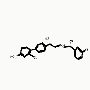 Cl.O=C(O)c1ccc(-c2ccc(CCNC[C@H](O)c3cccc(Cl)c3)cc2)c(Cl)c1